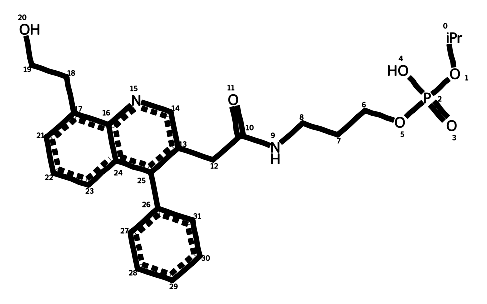 CC(C)OP(=O)(O)OCCCNC(=O)Cc1cnc2c(CCO)cccc2c1-c1ccccc1